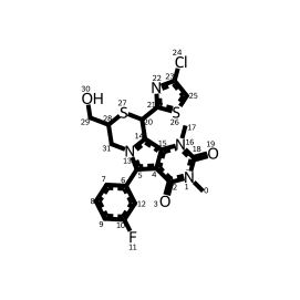 Cn1c(=O)c2c(-c3cccc(F)c3)n3c(c2n(C)c1=O)C(c1nc(Cl)cs1)SC(CO)C3